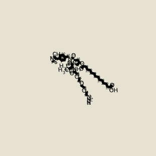 Cc1ncsc1-c1ccc(CNC(=O)[C@@H]2C[C@@H](OC(=O)CCCCCCCCCCCCC(=O)O)CN2C(=O)[C@@H](NC(=O)COCCOCCOCCN=[N+]=[N-])C(C)(C)C)cc1